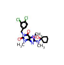 CN(c1nc2c(c(=O)n(Cc3ccc(Cl)c(Cl)c3)c(=O)n2C)n1C)C1(O)CCCCC1